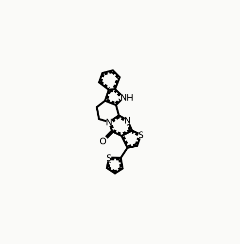 O=c1c2c(-c3cccs3)csc2nc2n1CCc1c-2[nH]c2ccccc12